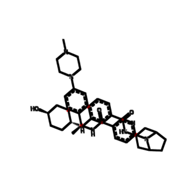 C[C@H](NC(=O)c1ccc(N2C3CCC2CC(NC(=O)c2cccc(N[C@H]4CC[C@H](O)CC4)c2)C3)nc1)c1ccc(N2CCN(C)CC2)cc1